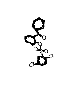 O=C(c1ccccc1)c1ccccc1OS(=O)(=O)c1cc(Cl)ccc1Cl